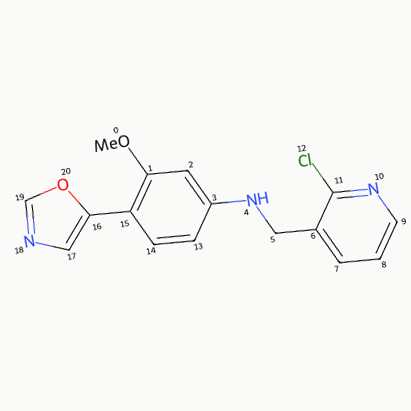 COc1cc(NCc2cccnc2Cl)ccc1-c1cnco1